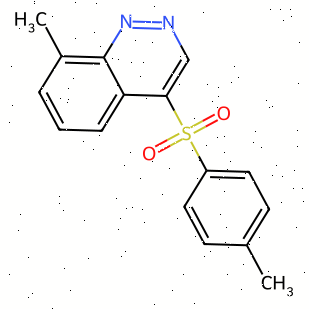 Cc1ccc(S(=O)(=O)c2cnnc3c(C)cccc23)cc1